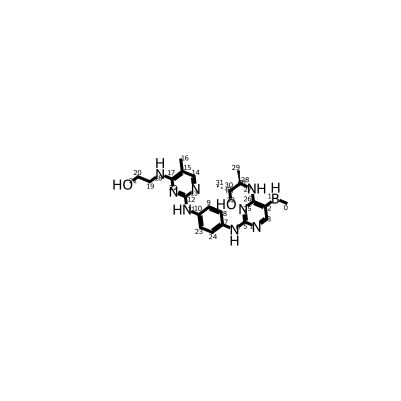 CBc1cnc(Nc2ccc(Nc3ncc(C)c(NCCO)n3)cc2)nc1N[C@H](C)[C@@H](C)O